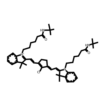 CC(C)(C)NC(=O)CCCCCN1/C(=C/C=C2\CCC(/C=C/C3=[N+](CCCCCC(=O)NC(C)(C)C)c4ccccc4C3(C)C)=C2Cl)C(C)(C)c2ccccc21